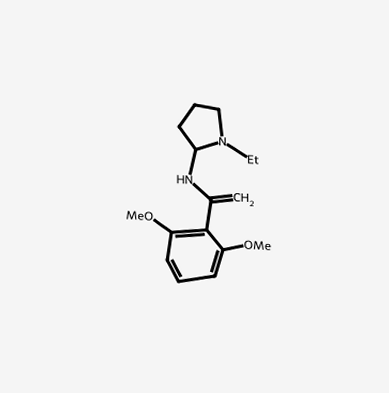 C=C(NC1CCCN1CC)c1c(OC)cccc1OC